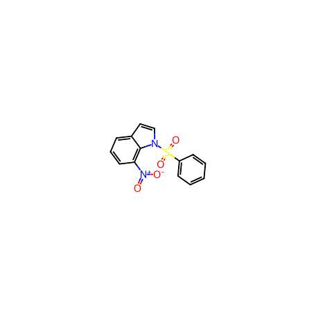 O=[N+]([O-])c1cccc2ccn(S(=O)(=O)c3ccccc3)c12